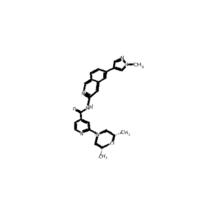 C[C@@H]1CN(c2cc(C(=O)Nc3cc4cc(-c5cnn(C)c5)ccc4cn3)ccn2)C[C@H](C)O1